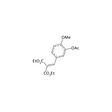 CCOC(=O)C(=Cc1ccc(OC)c(OC(C)=O)c1)C(=O)OCC